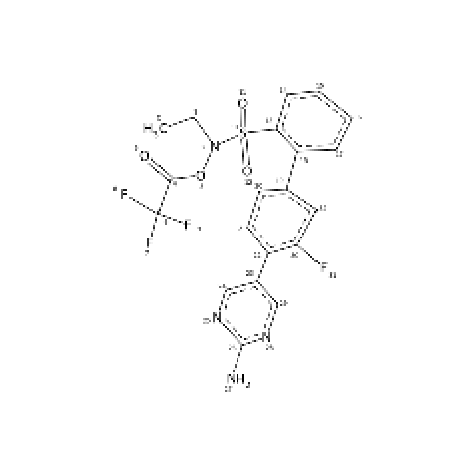 CCN(OC(=O)C(F)(F)F)S(=O)(=O)c1ccccc1-c1ccc(-c2cnc(N)nc2)c(F)c1